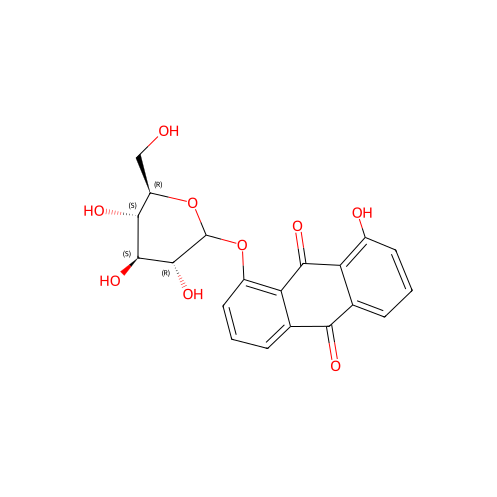 O=C1c2cccc(O)c2C(=O)c2c(OC3O[C@H](CO)[C@@H](O)[C@H](O)[C@H]3O)cccc21